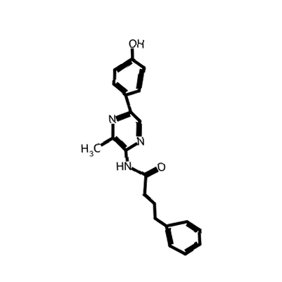 Cc1nc(-c2ccc(O)cc2)cnc1NC(=O)CCCc1ccccc1